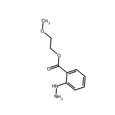 COCCOC(=O)c1ccccc1NN